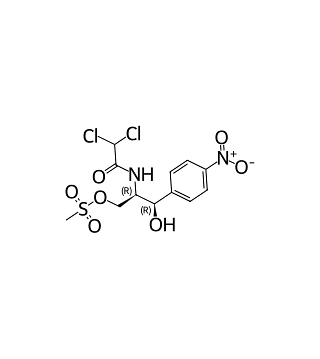 CS(=O)(=O)OC[C@@H](NC(=O)C(Cl)Cl)[C@H](O)c1ccc([N+](=O)[O-])cc1